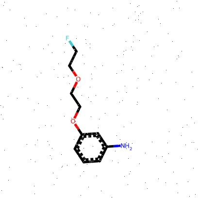 Nc1cccc(OCCOCCF)c1